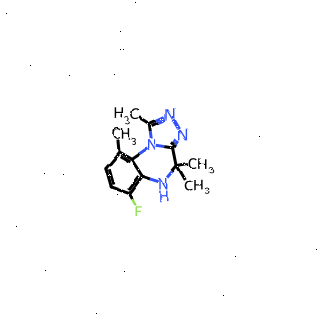 Cc1ccc(F)c2c1-n1c(C)nnc1C(C)(C)N2